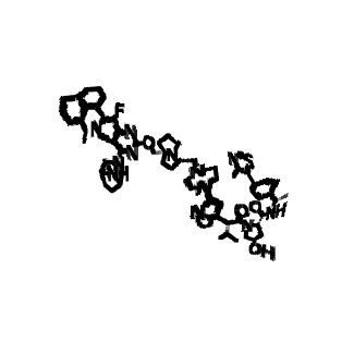 CCc1cccc2cccc(-c3ncc4c(N5CC6CCC(C5)N6)nc(OC[C@]56CCCN5[C@@H](CN5CCN(c7cc([C@H](C(=O)N8C[C@H](O)C[C@H]8C(=O)N[C@@H](C)c8ccc(-c9scnc9C)cc8)C(C)C)on7)CC5)CC6)nc4c3F)c12